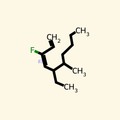 C=C/C(F)=C\C(CC)C(C)CCCC